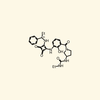 CCNC(=O)NC1CCN(C(=O)c2cccc(Nc3c(N[C@H](CC)c4ccccc4)c(=O)c3=O)c2O)C1